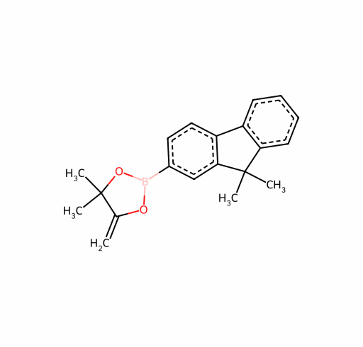 C=C1OB(c2ccc3c(c2)C(C)(C)c2ccccc2-3)OC1(C)C